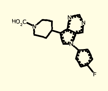 O=C(O)N1CCC(c2cn(-c3ccc(F)cc3)c3cncnc23)CC1